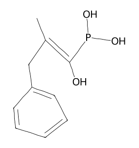 CC(Cc1ccccc1)=C(O)P(O)O